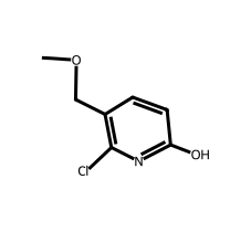 COCc1ccc(O)nc1Cl